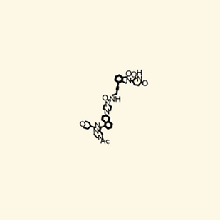 CC(=O)N1CCn2c(C3CCOCC3)nc(-c3cccc4cc(N5CCN(C(=O)NCCC#Cc6cccc7c6CN(C6CCC(=O)NC6=O)C7=O)CC5)ccc34)c2C1